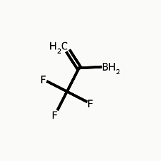 BC(=C)C(F)(F)F